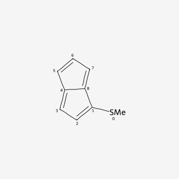 CSC1=CC=C2C=CC=C21